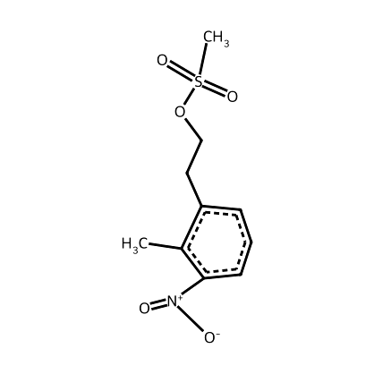 Cc1c(CCOS(C)(=O)=O)cccc1[N+](=O)[O-]